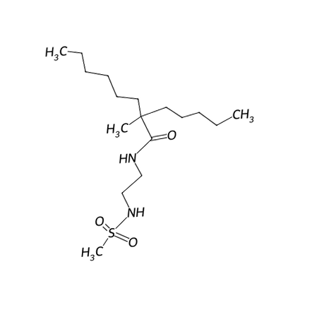 CCCCCCC(C)(CCCCC)C(=O)NCCNS(C)(=O)=O